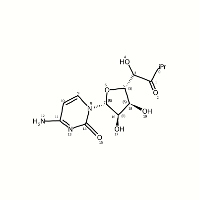 CC(C)C(=O)C(O)[C@H]1O[C@@H](n2ccc(N)nc2=O)[C@H](O)[C@@H]1O